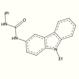 CCn1c2ccccc2c2cc(NC(=O)NC(C)C)ccc21